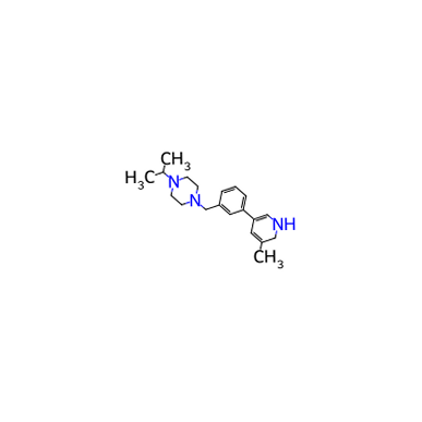 CC1=CC(c2cccc(CN3CCN(C(C)C)CC3)c2)=CNC1